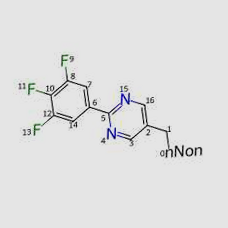 CCCCCCCCCCc1cnc(-c2cc(F)c(F)c(F)c2)nc1